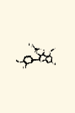 BC(=O)Oc1c(-c2ccc(OI)c(O)c2)oc2cc(O)cc(OC(C)C)c2c1=O